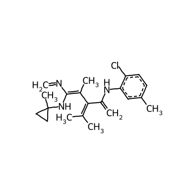 C=N/C(NC1(C)CC1)=C(\C)C(C(=C)Nc1cc(C)ccc1Cl)=C(C)C